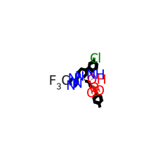 Cc1ccc(S(=O)(=O)OC[C@@H](O)C[C@H]2c3[nH]c4ccc(Cl)cc4c3CCN2c2ncnc(C(F)(F)F)n2)cc1